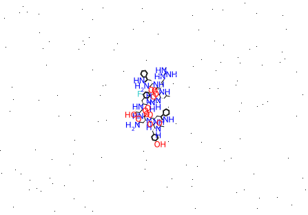 CNC(=N)NCCC[C@H](NC(=O)[C@H](CC(C)C)NC(=O)NNC(=O)[C@H](Cc1ccccc1F)NC(=O)C(NC(=O)[C@H](CC(N)=O)NC(=O)[C@@H](Cc1c[nH]c2ccccc12)NC(=O)[C@@H](Cc1ccc(O)cc1)NC(C)=O)[C@@H](C)O)C(=O)N[C@@H](Cc1c[nH]c2ccccc12)C(N)=O